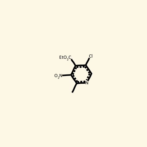 CCOC(=O)c1c(Cl)cnc(C)c1[N+](=O)[O-]